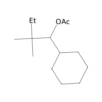 CCC(C)(C)C(OC(C)=O)C1CCCCC1